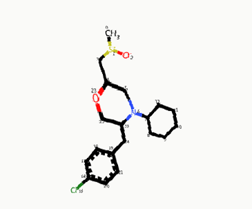 C[S+]([O-])CC1CN(C2CCCCC2)C(Cc2ccc(Cl)cc2)CO1